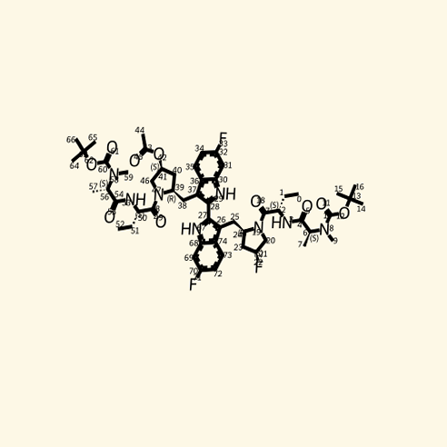 CC[C@H](NC(=O)[C@H](C)N(C)C(=O)OC(C)(C)C)C(=O)N1C[C@@H](F)C[C@H]1Cc1c(-c2[nH]c3cc(F)ccc3c2C[C@@H]2C[C@H](OC(C)=O)CN2C(=O)[C@H](CC)NC(=O)[C@H](C)N(C)C(=O)OC(C)(C)C)[nH]c2cc(F)ccc12